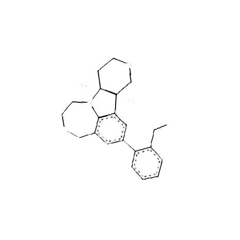 OCc1ccccc1-c1cc2c3c(c1)[C@@H]1CNCC[C@@H]1N3CCSC2